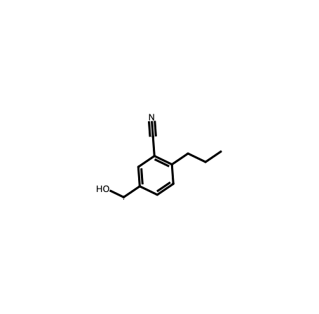 CCCc1ccc([CH]O)cc1C#N